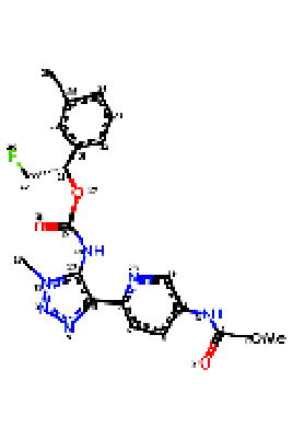 COC(=O)Nc1ccc(-c2nnn(C)c2NC(=O)O[C@H](CF)c2cccc(C)c2)nc1